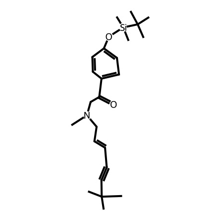 CN(CC=CC#CC(C)(C)C)CC(=O)c1ccc(O[Si](C)(C)C(C)(C)C)cc1